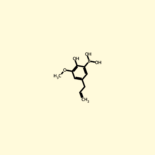 C=CCc1cc(OC)c(O)c(B(O)O)c1